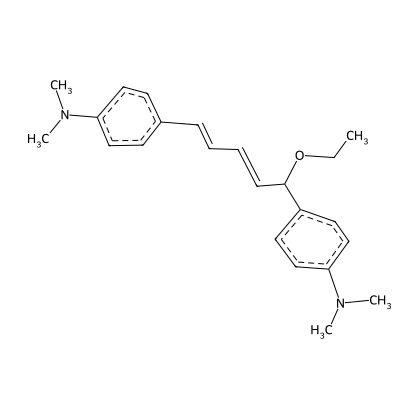 CCOC(/C=C/C=C/c1ccc(N(C)C)cc1)c1ccc(N(C)C)cc1